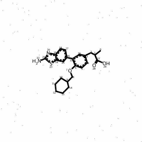 CC(Cc1ccc(OCC2CCCCC2)c(-c2ccc3nc(N)sc3c2)c1)C(=O)O